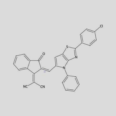 N#CC(C#N)=C1/C(=C/c2cc3sc(-c4ccc(Cl)cc4)nc3n2-c2ccccc2)C(=O)c2ccccc21